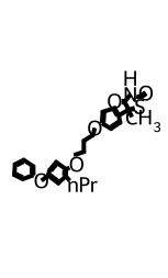 CCCc1cc(Oc2ccccc2)ccc1OCCCCOc1ccc(C2(C)SC(=O)NC2=O)cc1